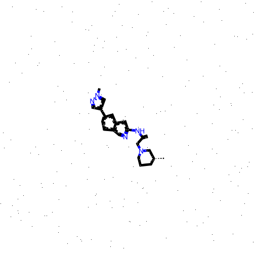 C=C(CN1CCC[C@@H](C)C1)Nc1cc2cc(-c3cnn(C)c3)ccc2cn1